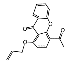 C=CCOc1ccc(C(C)=O)c2oc3ccccc3c(=O)c12